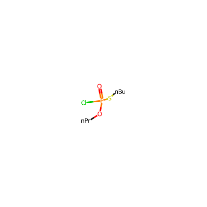 CCCCSP(=O)(Cl)OCCC